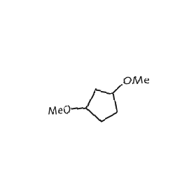 COC1CCC(OC)C1